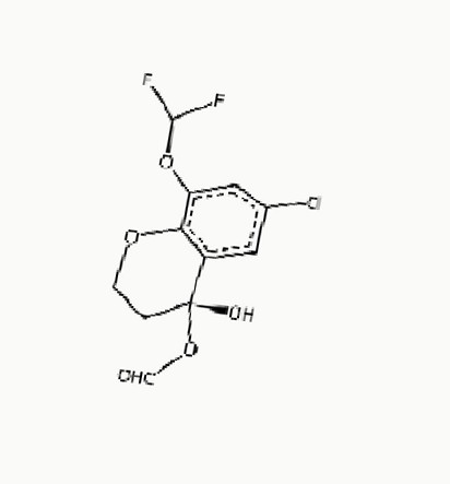 O=CO[C@]1(O)CCOc2c(OC(F)F)cc(Cl)cc21